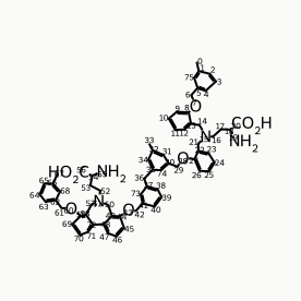 Cc1cccc(COc2ccccc2CN(CC[C@H](N)C(=O)O)Cc2ccccc2OCc2cc(C)cc(Cc3cccc(COc4cccc5c4CN(CC[C@H](N)C(=O)O)Cc4c(OCc6cccc(C)c6)cccc4-5)c3)c2)c1